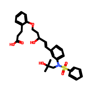 CC(C)(O)CN(c1cccc(/C=C/C(O)CCOc2ccccc2CCC(=O)O)c1)S(=O)(=O)c1ccccc1